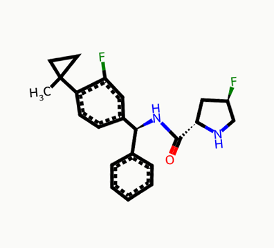 CC1(c2ccc([C@@H](NC(=O)[C@@H]3C[C@@H](F)CN3)c3ccccc3)cc2F)CC1